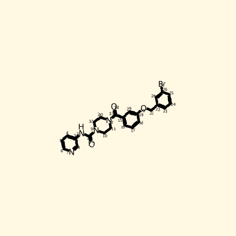 O=C(Nc1cccnc1)N1CCN(C(=O)c2cccc(OCc3cccc(Br)c3)c2)CC1